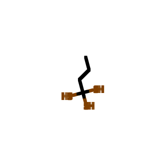 CCCC(S)(S)S